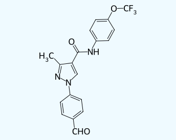 Cc1nn(-c2ccc(C=O)cc2)cc1C(=O)Nc1ccc(OC(F)(F)F)cc1